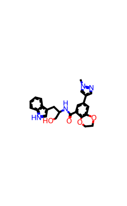 Cn1cc(-c2cc3c(c(C(=O)NC(CO)Cc4c[nH]c5ccccc45)c2)OCCO3)cn1